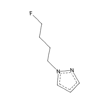 FCCCCn1cccn1